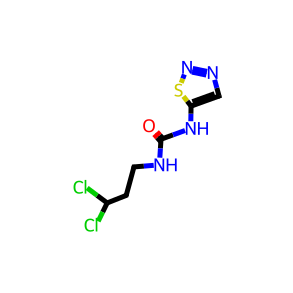 O=C(NCCC(Cl)Cl)Nc1cnns1